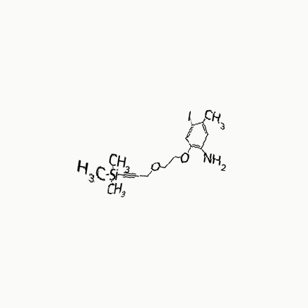 Cc1cc(N)c(OCCOCC#C[Si](C)(C)C)cc1I